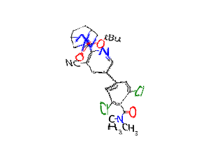 CN(C)C(=O)c1c(Cl)cc(-c2cnc(N3CC4CCC(C3)N4C(=O)OC(C)(C)C)c(C#N)c2)cc1Cl